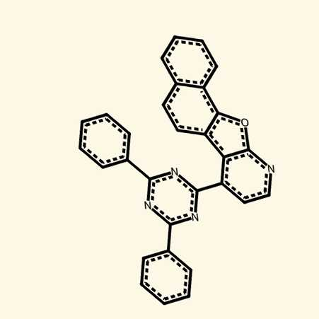 c1ccc(-c2nc(-c3ccccc3)nc(-c3ccnc4oc5c6ccccc6ccc5c34)n2)cc1